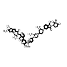 COc1ncc(-c2ccnc(N3CCn4c(cc5c4CC(C)(C)C5)C3=O)c2[C@@H](C)O)cc1Nc1ccc(N2CCN(C3CCN(c4ccc5c(c4)C(=O)N([C@H]4CCC(=O)NC4=O)C5=O)[C@@H](C)C3)C[C@@H]2C)cn1